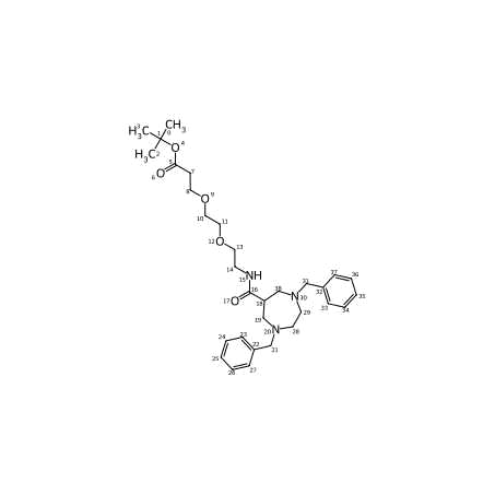 CC(C)(C)OC(=O)CCOCCOCCNC(=O)C1CN(Cc2ccccc2)CCN(Cc2ccccc2)C1